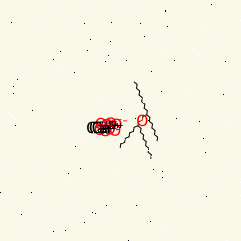 CCCCCCCCCCC(CCCCCCCC)COCC(CCCCCCCC)CCCCCCCCCC.O=P([O-])([O-])[O-].O=P([O-])([O-])[O-].[Ca+2].[Ca+2].[Ca+2]